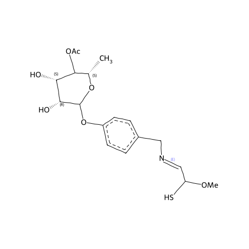 COC(S)/C=N/Cc1ccc(OC2O[C@@H](C)C(OC(C)=O)[C@@H](O)[C@H]2O)cc1